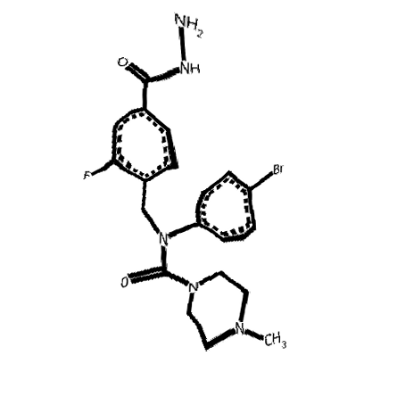 CN1CCN(C(=O)N(Cc2ccc(C(=O)NN)cc2F)c2ccc(Br)cc2)CC1